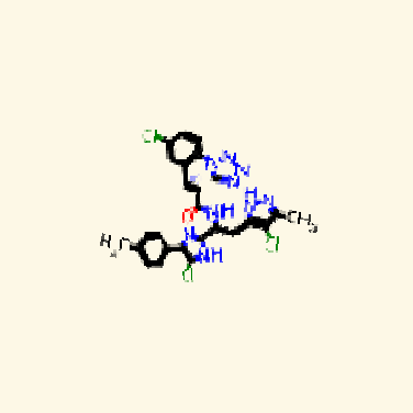 Cc1ccc(-c2nc(C(Cc3[nH]nc(C)c3Cl)NC(=O)/C=C/c3cc(Cl)ccc3-n3cnnn3)[nH]c2Cl)cc1